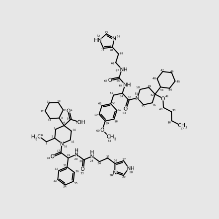 CCC1CC(C(=O)O)(C2CCCCC2)CCN1C(=O)C(NC(=O)NCCc1c[nH]cn1)c1ccccc1.CCCCOC1(C2CCCCC2)CCN(C(=O)C(Cc2ccc(OC)cc2)NC(=O)NCCc2c[nH]cn2)CC1